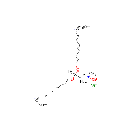 CCCCCCCC/C=C\CCCCCCCCOC(CC)(CC[N+](C)(C)O)OCCCCCCCC/C=C\CCCCCCCC.[Br-]